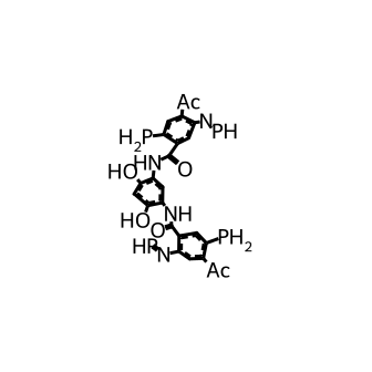 CC(=O)c1cc(N=P)c(C(=O)Nc2cc(NC(=O)c3cc(N=P)c(C(C)=O)cc3P)c(O)cc2O)cc1P